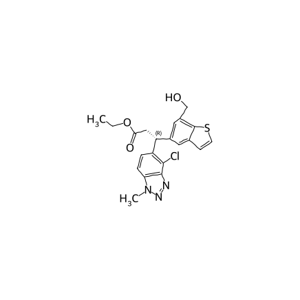 CCOC(=O)C[C@H](c1cc(CO)c2sccc2c1)c1ccc2c(nnn2C)c1Cl